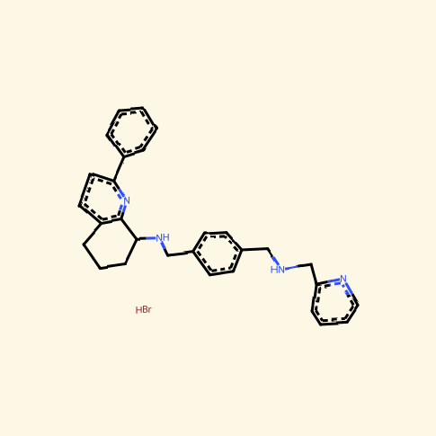 Br.c1ccc(-c2ccc3c(n2)C(NCc2ccc(CNCc4ccccn4)cc2)CCC3)cc1